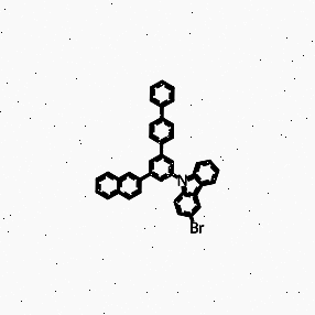 Brc1ccc2c(c1)c1ccccc1n2-c1cc(-c2ccc(-c3ccccc3)cc2)cc(-c2ccc3ccccc3c2)c1